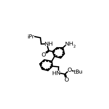 CC(C)CCNC(=O)c1cc(N)ccc1-c1ccccc1CNC(=O)OC(C)(C)C